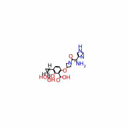 N[C@H](C(=O)N1CC(Oc2ccc3c(c2C(=O)O)O[B-](O)(O)[C@H]2C[C@@H]32)C1)c1c[nH]cn1